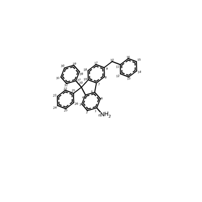 Nc1ccc2c(c1)-c1cc(Cc3ccccc3)ccc1C2(c1ccccc1)c1ccccc1